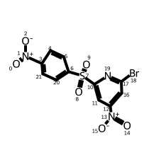 O=[N+]([O-])c1ccc(S(=O)(=O)c2cc([N+](=O)[O-])cc(Br)n2)cc1